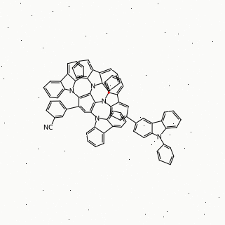 N#Cc1cccc(-c2cc(-n3c4ccccc4c4ccccc43)c(-n3c4ccccc4c4cc(-c5ccc6c(c5)c5ccccc5n6-c5ccccc5)ccc43)c(-n3c4ccccc4c4ccccc43)c2-n2c3ccccc3c3ccccc32)c1